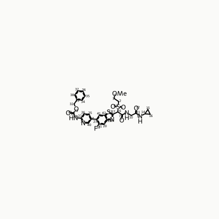 COCCS(=O)(=O)C(C(=O)NCC(=O)NC1CC1)c1nc2cc(F)c(-c3ccc(NC(=O)OCc4ccccc4)nc3)cc2s1